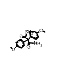 COc1ccc(C(C(N)=O)(C(N)=O)c2ccc(OC)cc2)cc1